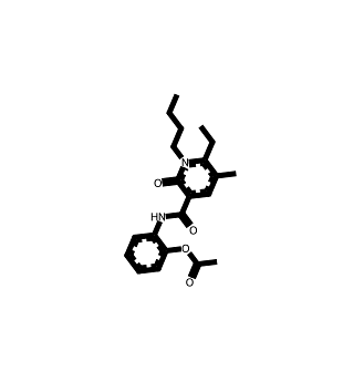 CCCCn1c(CC)c(C)cc(C(=O)Nc2ccccc2OC(C)=O)c1=O